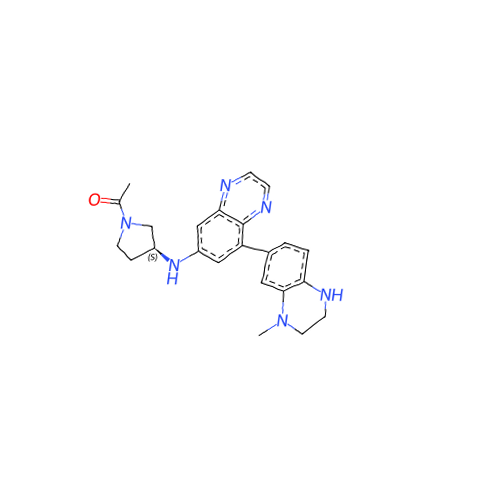 CC(=O)N1CC[C@H](Nc2cc(-c3ccc4c(c3)N(C)CCN4)c3nccnc3c2)C1